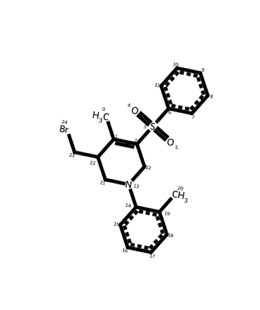 CC1=C(S(=O)(=O)c2ccccc2)CN(c2ccccc2C)CC1CBr